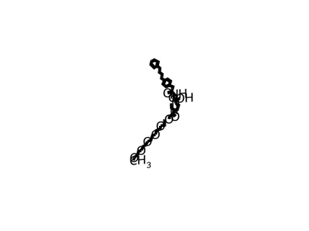 COCCOCCOCCOCCOCCOCC(=O)N1CCN(C(O)ONC(=O)Cc2ccc(CCCCc3ccccc3)cc2)CC1